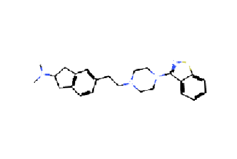 CC(=O)N(C)C1Cc2ccc(CCN3CCN(c4nsc5ccccc45)CC3)cc2C1